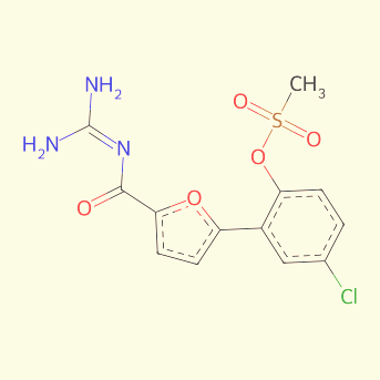 CS(=O)(=O)Oc1ccc(Cl)cc1-c1ccc(C(=O)N=C(N)N)o1